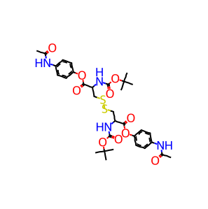 CC(=O)Nc1ccc(OC(=O)C(CSSCC(NC(=O)OC(C)(C)C)C(=O)Oc2ccc(NC(C)=O)cc2)NC(=O)OC(C)(C)C)cc1